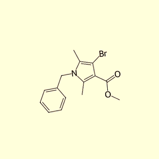 COC(=O)c1c(Br)c(C)n(Cc2ccccc2)c1C